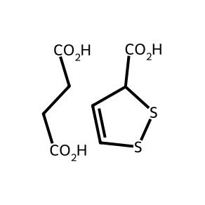 O=C(O)C1C=CSS1.O=C(O)CCC(=O)O